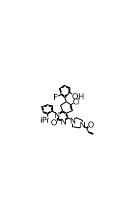 C=CC(=O)N1CCN(c2nc(=O)n(-c3ccccc3C(C)C)c3c2C=C(Cl)C(c2c(O)cccc2F)C3)CC1